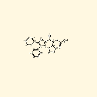 O=C(O)CN(C(=O)c1nc(-c2ccccc2)c(-c2ccccc2)o1)C1CCCC1